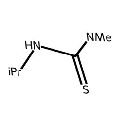 CNC(=S)NC(C)C